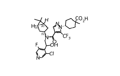 CC1(C)[C@@H]2C[C@@H](N(CC(O)c3c(F)cncc3Cl)C(=O)c3cnn([C@H]4CC[C@](C)(C(=O)O)CC4)c3C(F)(F)F)C[C@@H]21